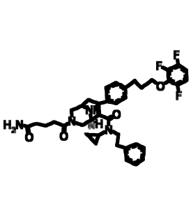 NC(=O)CCCC(=O)N1CC2CC(c3ccc(CCCOc4c(F)ccc(F)c4F)cc3)=C(C(=O)N(CCc3ccccc3)C3CC3)[C@@H](C1)N2